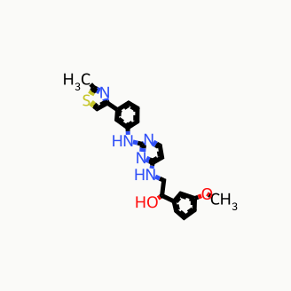 COc1cccc(C(O)CNc2ccnc(Nc3cccc(-c4csc(C)n4)c3)n2)c1